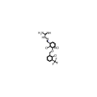 Cl.N=C(N)N/N=C/c1cccc(OCc2cccc(C(F)(F)F)c2Cl)c1Cl